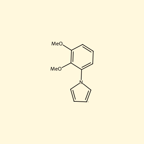 COc1cccc(-n2c[c]cc2)c1OC